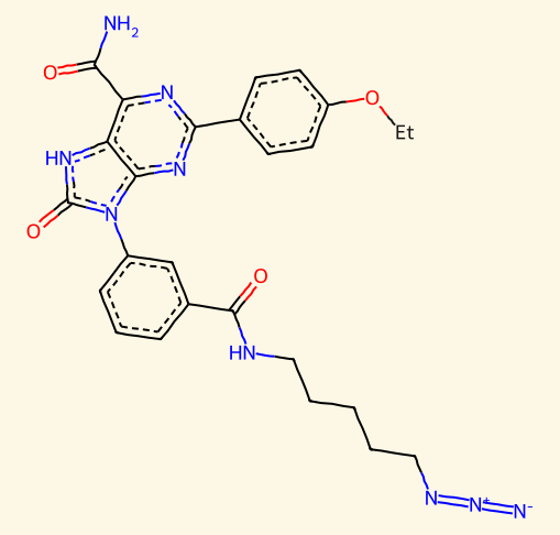 CCOc1ccc(-c2nc(C(N)=O)c3[nH]c(=O)n(-c4cccc(C(=O)NCCCCCN=[N+]=[N-])c4)c3n2)cc1